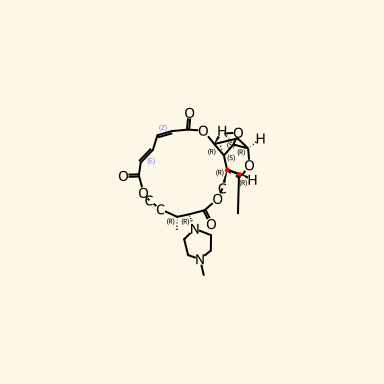 CC1=C[C@H]2O[C@@H]3C[C@H]4OC(=O)/C=C\C=C\C(=O)OCC[C@@H](C)[C@@H](N5CCN(C)CC5)C(=O)OC[C@@]2(CC1)[C@]4(C)[C@]31CO1